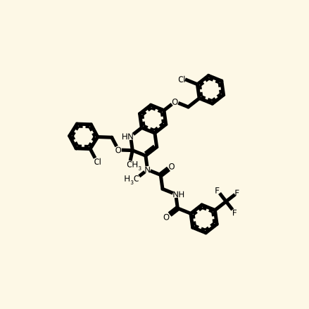 CN(C(=O)CNC(=O)c1cccc(C(F)(F)F)c1)C1=Cc2cc(OCc3ccccc3Cl)ccc2NC1(C)OCc1ccccc1Cl